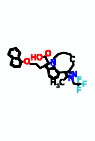 Cc1c2c(nn1CC(F)(F)F)CCCCCCn1c(C(=O)O)c(CCCOc3cccc4ccccc34)c3cccc-2c31